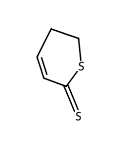 S=C1C=CCCS1